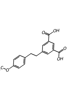 COc1ccc(CCc2cc(C(=O)O)cc(C(=O)O)c2)cc1